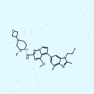 COc1nc(N[C@H]2CCN(C3COC3)C[C@H]2F)nn2ccc(-c3cc(F)c4nc(C)n(CCF)c4c3)c12